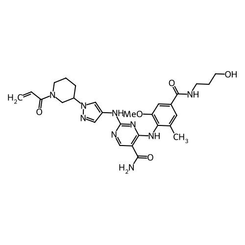 C=CC(=O)N1CCCC(n2cc(Nc3ncc(C(N)=O)c(Nc4c(C)cc(C(=O)NCCCO)cc4OC)n3)cn2)C1